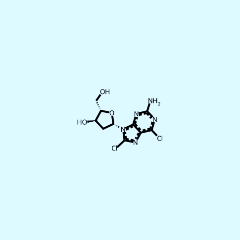 Nc1nc(Cl)c2nc(Cl)n([C@@H]3C[C@@H](O)[C@H](CO)O3)c2n1